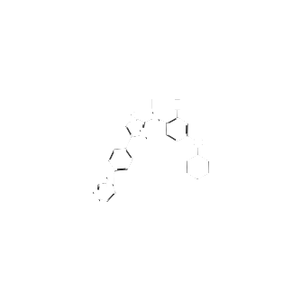 CCc1cc(OC2CCCCC2)ccc1Nc1nc(-c2ccc(-n3ccnc3)cc2)cs1